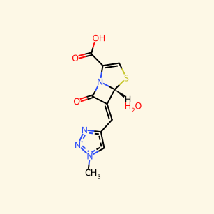 Cn1cc(C=C2C(=O)N3C(C(=O)O)=CS[C@H]23)nn1.O